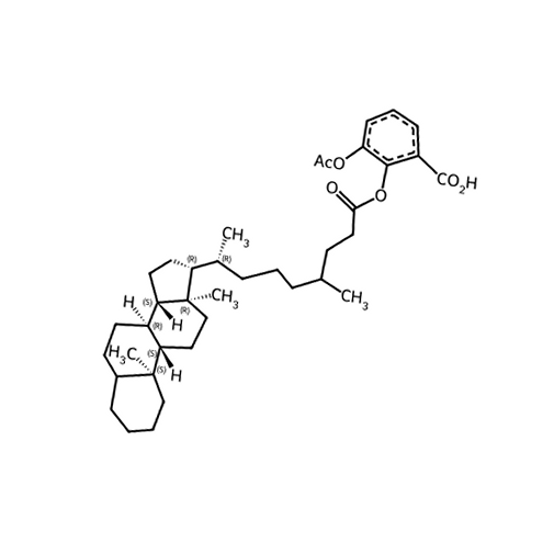 CC(=O)Oc1cccc(C(=O)O)c1OC(=O)CCC(C)CCC[C@@H](C)[C@H]1CC[C@H]2[C@@H]3CCC4CCCC[C@]4(C)[C@H]3CC[C@]12C